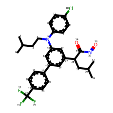 CC(C)CCN(c1ccc(Cl)cc1)c1cc(-c2ccc(C(F)(F)F)cc2)cc(C(CC(C)C)C(=O)N=O)c1